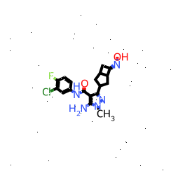 Cn1nc(C2CC3C/C(=N\O)C3C2)c(C(=O)Nc2ccc(F)c(Cl)c2)c1N